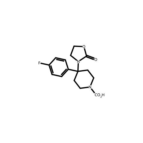 O=C(O)N1CCC(c2ccc(F)cc2)(N2CCOC2=O)CC1